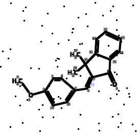 COc1ccc(/C=C2/C(=O)c3ccccc3C2(C)C)cc1